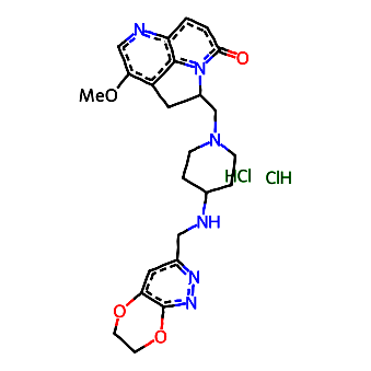 COc1cnc2ccc(=O)n3c2c1CC3CN1CCC(NCc2cc3c(nn2)OCCO3)CC1.Cl.Cl